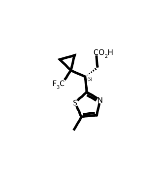 Cc1cnc([C@@H](CC(=O)O)C2(C(F)(F)F)CC2)s1